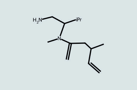 C=CC(C)CC(=C)N(C)C(CN)C(C)C